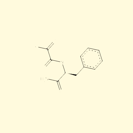 C=C(C)C(=O)N[C@@H](Cc1ccccc1)C(N)=O